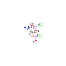 CCN.O=I(=O)Cl.O=I(=O)Cl